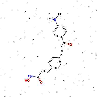 CCN(CC)c1ccc(C(=O)C=Cc2ccc(C=CC(=O)NO)cc2)cc1